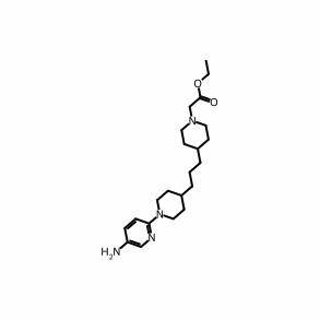 CCOC(=O)CN1CCC(CCCC2CCN(c3ccc(N)cn3)CC2)CC1